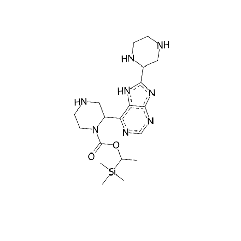 CC(OC(=O)N1CCNCC1c1ncnc2nc(C3CNCCN3)[nH]c12)[Si](C)(C)C